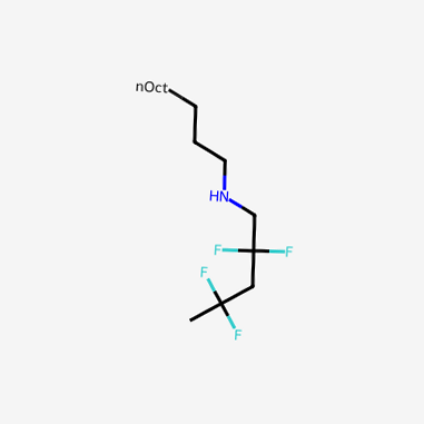 CCCCCCCCCCCNCC(F)(F)CC(C)(F)F